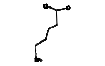 CCCCCCCC([O])Cl